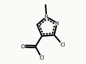 Cn1cc(C(=O)Cl)c(Cl)n1